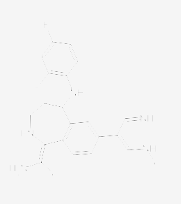 CN/C=C(\C=N)c1ccc2c(c1)C(Nc1ccc(F)cc1F)CCN/C2=C(/C)N